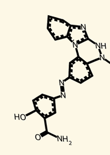 CN1Nc2nc3ccccc3n2-c2cc(/N=N/c3ccc(O)c(C(N)=O)c3)ccc21